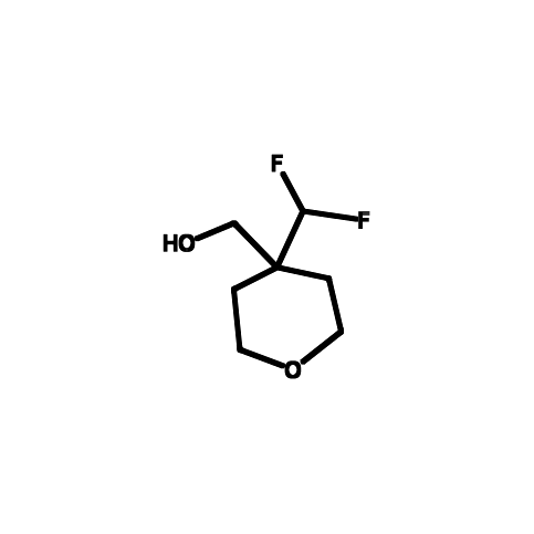 OCC1(C(F)F)CCOCC1